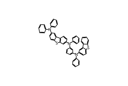 c1ccc(N(c2cccc(N(c3ccccc3)c3ccc4sc5ccccc5c4c3)c2)c2ccc3c(c2)sc2ccc(N(c4ccccc4)c4ccccc4)cc23)cc1